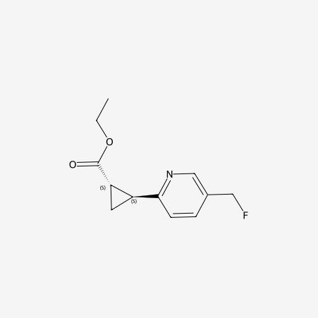 CCOC(=O)[C@H]1C[C@@H]1c1ccc(CF)cn1